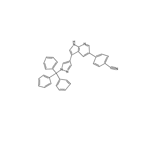 N#Cc1ccc(-c2cnc3[nH]cc(-c4cnn(C(c5ccccc5)(c5ccccc5)c5ccccc5)c4)c3c2)cc1